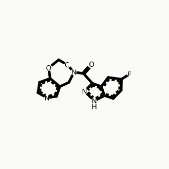 O=C(c1n[nH]c2ccc(F)cc12)N1CCOc2ccncc2C1